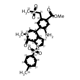 COC(=O)c1cc(N)c(-c2cn(C)c(=O)c3c2ccn3S(=O)(=O)c2ccc(C)cc2)cc1CS(C)(=O)=O